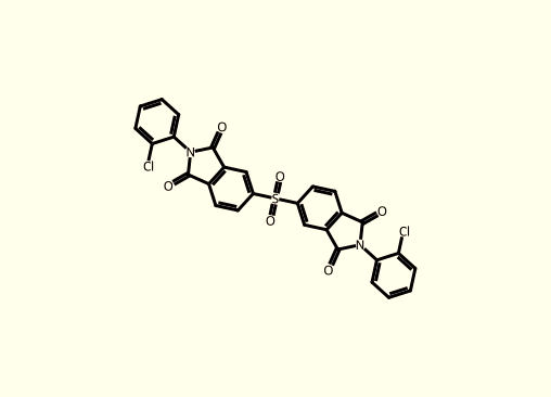 O=C1c2ccc(S(=O)(=O)c3ccc4c(c3)C(=O)N(c3ccccc3Cl)C4=O)cc2C(=O)N1c1ccccc1Cl